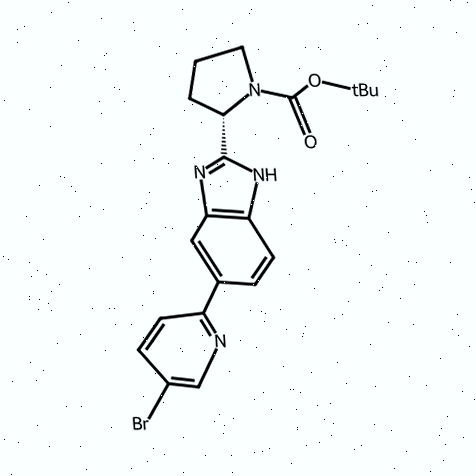 CC(C)(C)OC(=O)N1CCC[C@H]1c1nc2cc(-c3ccc(Br)cn3)ccc2[nH]1